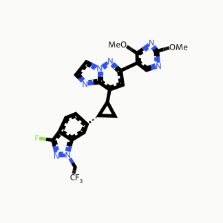 COc1ncc(-c2cc(C3C[C@@H]3c3ccc4c(F)nn(CC(F)(F)F)c4c3)c3nccn3n2)c(OC)n1